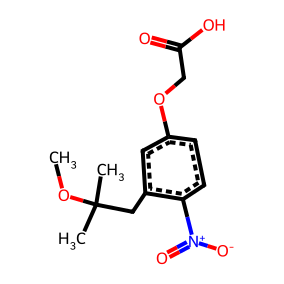 COC(C)(C)Cc1cc(OCC(=O)O)ccc1[N+](=O)[O-]